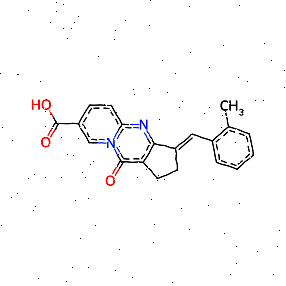 Cc1ccccc1C=C1CCc2c1nc1ccc(C(=O)O)cn1c2=O